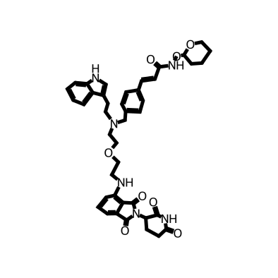 O=C(/C=C/c1ccc(CN(CCOCCNc2cccc3c2C(=O)N(C2CCC(=O)NC2=O)C3=O)CCc2c[nH]c3ccccc23)cc1)NOC1CCCCO1